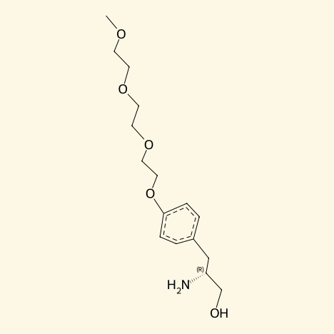 COCCOCCOCCOc1ccc(C[C@@H](N)CO)cc1